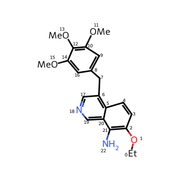 CCOc1ccc2c(Cc3cc(OC)c(OC)c(OC)c3)cncc2c1N